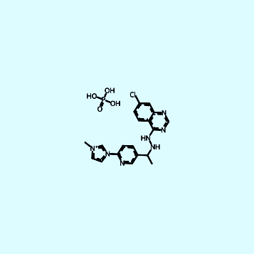 CC(NNc1ncnc2cc(Cl)ccc12)c1ccc(-n2cc[n+](C)c2)nc1.O=P(O)(O)O